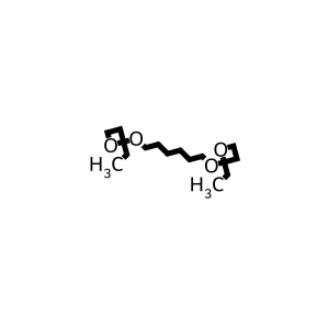 CCC1(OCCCCCCOC2(CC)CCO2)CCO1